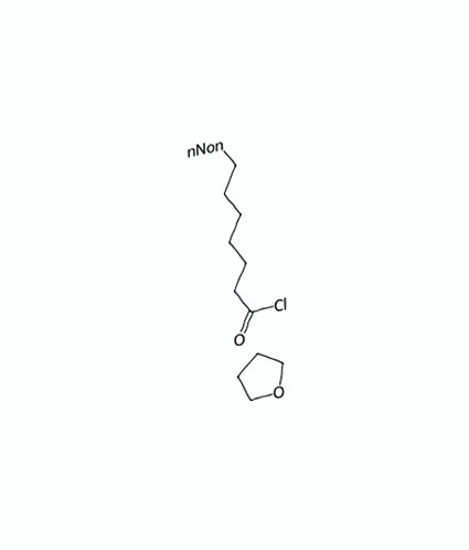 C1CCOC1.CCCCCCCCCCCCCCCC(=O)Cl